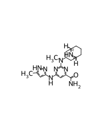 Cc1cc(Nc2cc(C(N)=O)nc(N(C)C3C[C@H]4CCC[C@@H](C3)N4)n2)n[nH]1